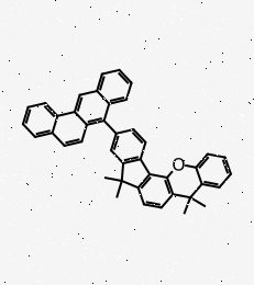 CC1(C)c2ccccc2Oc2c1ccc1c2-c2ccc(-c3c4ccccc4cc4c3ccc3ccccc34)cc2C1(C)C